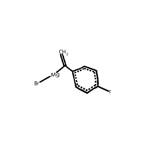 C=[C]([Mg][Br])c1ccc(F)cc1